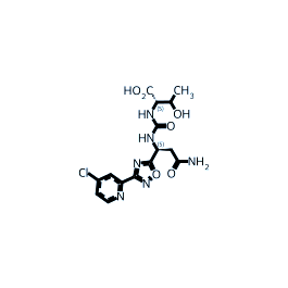 CC(O)[C@H](NC(=O)N[C@@H](CC(N)=O)c1nc(-c2cc(Cl)ccn2)no1)C(=O)O